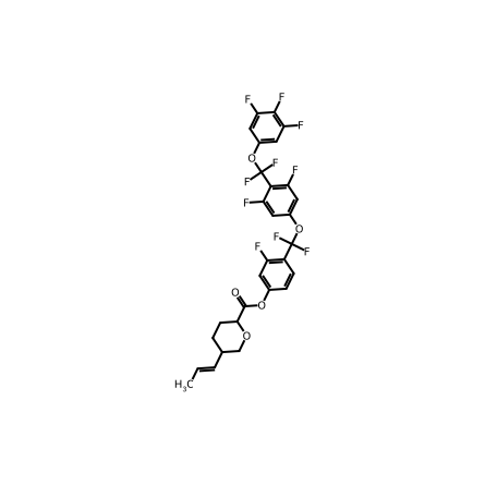 C/C=C/C1CCC(C(=O)Oc2ccc(C(F)(F)Oc3cc(F)c(C(F)(F)Oc4cc(F)c(F)c(F)c4)c(F)c3)c(F)c2)OC1